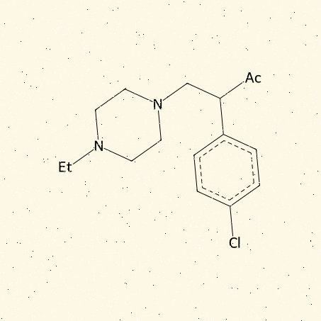 CCN1CCN(CC(C(C)=O)c2ccc(Cl)cc2)CC1